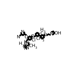 Cc1c(COc2cc(OCc3cncc(C#N)c3)c(CN(C)CC(C)c3nnn[nH]3)cc2Cl)cccc1-c1cccc(OCCCN2CC[C@@H](O)C2)c1C